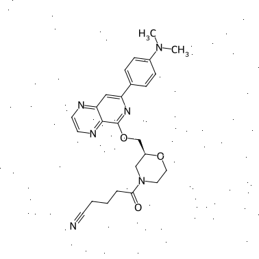 CN(C)c1ccc(-c2cc3nccnc3c(OC[C@@H]3CN(C(=O)CCCC#N)CCO3)n2)cc1